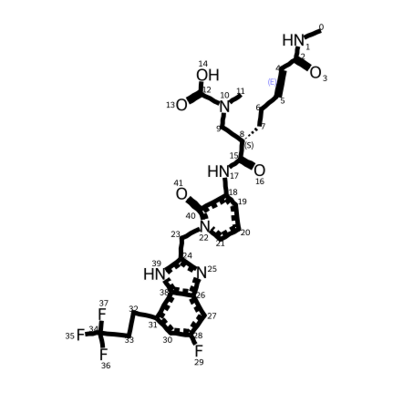 CNC(=O)/C=C/CC[C@@H](CN(C)C(=O)O)C(=O)Nc1cccn(Cc2nc3cc(F)cc(CCC(F)(F)F)c3[nH]2)c1=O